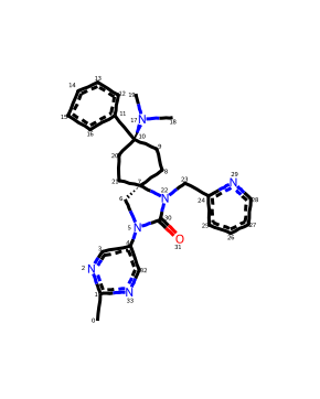 Cc1ncc(N2C[C@]3(CC[C@](c4ccccc4)(N(C)C)CC3)N(Cc3ccccn3)C2=O)cn1